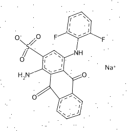 Nc1c(S(=O)(=O)[O-])cc(Nc2c(F)cccc2F)c2c1C(=O)c1ccccc1C2=O.[Na+]